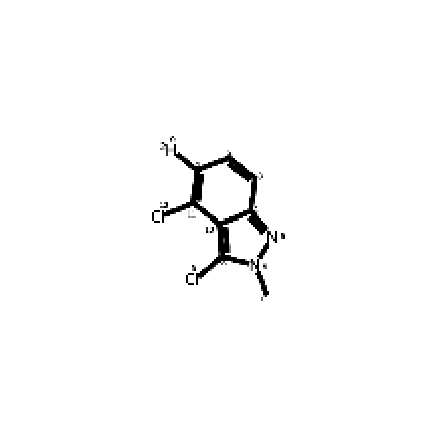 [2H]c1ccc2nn(C)c(Cl)c2c1Cl